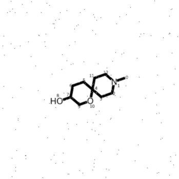 CN1CCC2(CCC(O)CO2)CC1